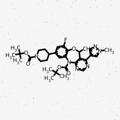 CC1Oc2c(F)cc(C3CCN(C(=O)OC(C)(C)C)CC3)cc2N(C(=O)OC(C)(C)C)c2ncnc(-c3cnn(C)c3)c21